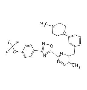 Cc1cnc(-c2nc(-c3ccc(OC(F)(F)F)cc3)no2)nc1Cc1cccc(N2CCN(C)CC2)c1